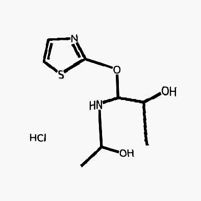 CC(O)NC(Oc1nccs1)C(C)O.Cl